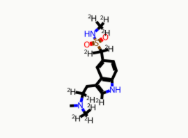 [2H]c1[nH]c2ccc(C([2H])([2H])S(=O)(=O)NC([2H])([2H])[2H])cc2c1CC([2H])([2H])N(C)C([2H])([2H])[2H]